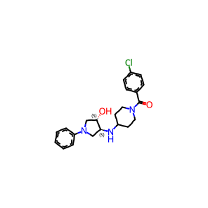 O=C(c1ccc(Cl)cc1)N1CCC(N[C@H]2CN(c3ccccc3)C[C@@H]2O)CC1